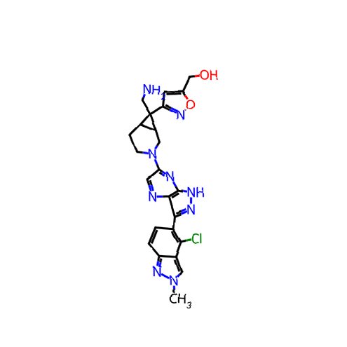 Cn1cc2c(Cl)c(-c3n[nH]c4nc(N5CCC6C(C5)C6(CN)c5cc(CO)on5)cnc34)ccc2n1